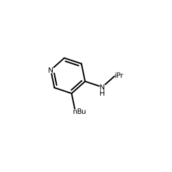 CCCCc1cnccc1NC(C)C